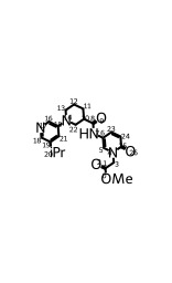 COC(=O)Cn1cc(NC(=O)C2CCCN(c3cncc(C(C)C)c3)C2)ccc1=O